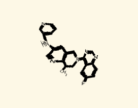 CC1CN(c2ncnc3ccc(F)cc23)Cc2cc(Nc3cccnc3)cnc21